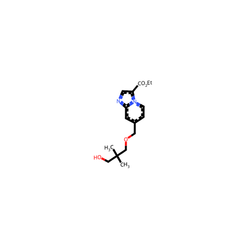 CCOC(=O)c1cnc2cc(COCC(C)(C)CO)ccn12